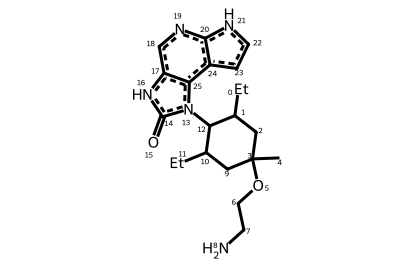 CCC1CC(C)(OCCN)CC(CC)C1n1c(=O)[nH]c2cnc3[nH]ccc3c21